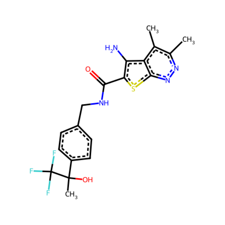 Cc1nnc2sc(C(=O)NCc3ccc(C(C)(O)C(F)(F)F)cc3)c(N)c2c1C